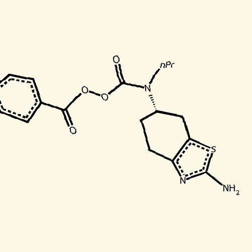 CCCN(C(=O)OOC(=O)c1ccccc1)[C@H]1CCc2nc(N)sc2C1